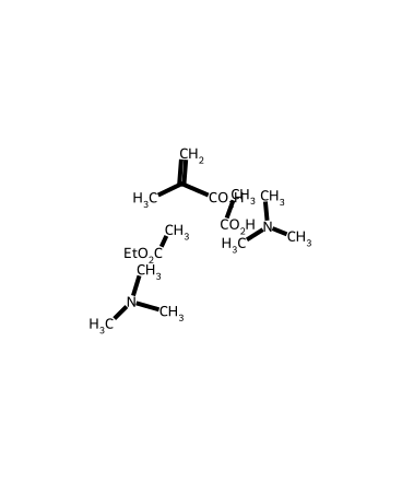 C=C(C)C(=O)O.CC(=O)O.CCOC(C)=O.CN(C)C.CN(C)C